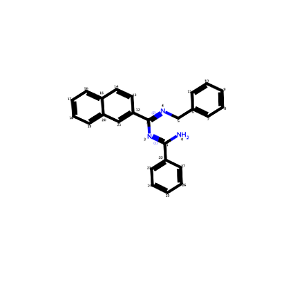 N/C(=N\C(=N/Cc1ccccc1)c1ccc2ccccc2c1)c1ccccc1